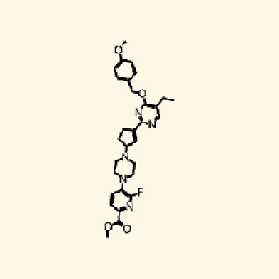 CCc1cnc(C2=CC(N3CCN(c4ccc(C(=O)OC)nc4F)CC3)CC2)nc1OCc1ccc(OC)cc1